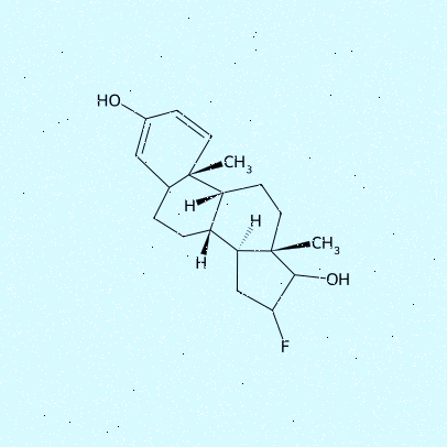 C[C@]12C=CC(O)=CC1CC[C@@H]1[C@H]2CC[C@]2(C)C(O)C(F)C[C@@H]12